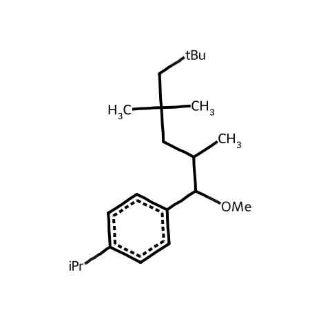 COC(c1ccc(C(C)C)cc1)C(C)CC(C)(C)CC(C)(C)C